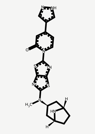 CN(c1nc2sc(-n3ccc(-c4cn[nH]c4)cc3=O)nc2s1)[C@@H]1C[C@H]2CC[C@@H](C1)N2